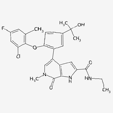 CCNC(=O)c1cc2c(-c3cc(C(C)(C)O)ccc3Oc3c(C)cc(F)cc3Cl)cn(C)c(=O)c2[nH]1